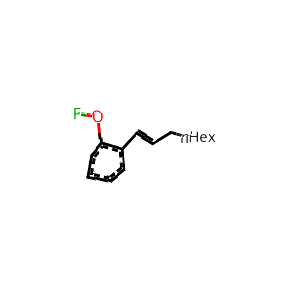 CCCCCCCC=Cc1ccccc1OF